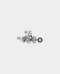 CC[C@H]1OC(OS(C)(=O)=O)[C@@](F)(Cl)[C@@H]1OC(=O)c1ccccc1